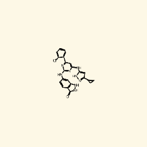 O=c1[nH][nH]c2cc(Nc3nc(Nc4cc(C5CC5)n[nH]4)cc(-c4ccccc4Cl)n3)ccc12